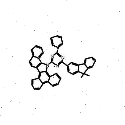 CC1(C)c2ccccc2-c2cc(-c3nc(-c4ccccc4)nc(-n4c5c6ccccc6ccc5c5c6ccccc6c6ccccc6c54)n3)ccc21